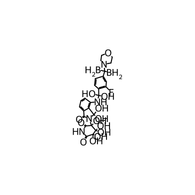 BC(B)(c1ccc(C(O)(O)Nc2cccc3c2C(O)(O)N(C2(O)C(=O)NC(=O)C(O)(O)C2(O)O)C3=O)c(F)c1)N1CCOCC1